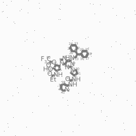 CCC(=O)N[C@H]1C[C@@H](n2cnc3c(NCC(c4ccccc4)c4ccccc4)nc(N4CC[C@@H](NC(=O)Nc5ccccn5)C4)nc32)[C@H](OC(=O)C(F)(F)F)[C@@H]1O